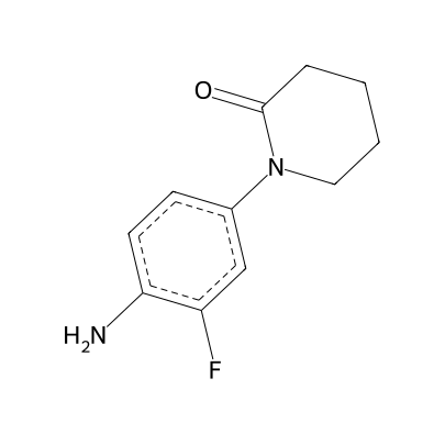 Nc1ccc(N2CCCCC2=O)cc1F